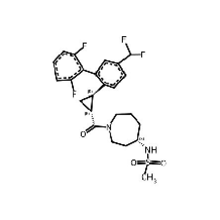 CS(=O)(=O)N[C@H]1CCCN(C(=O)[C@@H]2C[C@H]2c2ccc(C(F)F)cc2-c2c(F)cccc2F)CC1